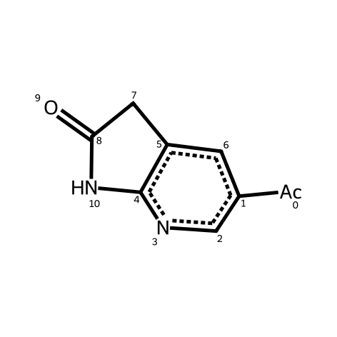 CC(=O)c1cnc2c(c1)CC(=O)N2